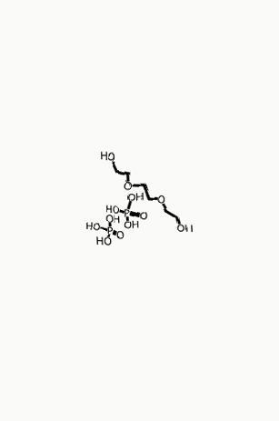 O=P(O)(O)O.O=P(O)(O)O.OCCOCCOCCO